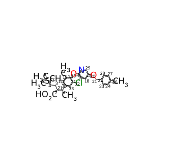 C/C(=C(/CC[Si](C)(C)C)C(=O)O)c1cc(C)c(Oc2ccc(OCc3ccc(C)cc3)cn2)c(Cl)c1